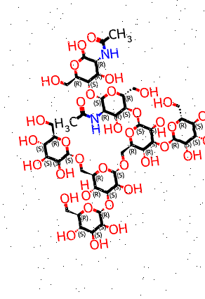 CC(=O)N[C@H]1[C@H](O[C@H]2[C@H](O)[C@@H](NC(C)=O)C(O)O[C@@H]2CO)O[C@H](CO)[C@@H](O[C@@H]2O[C@H](CO[C@H]3O[C@H](CO[C@H]4O[C@H](CO)[C@@H](O)[C@H](O)[C@@H]4O)[C@@H](O)[C@H](O[C@H]4O[C@H](CO)[C@@H](O)[C@H](O)[C@@H]4O)[C@@H]3O)[C@@H](O)[C@H](O[C@H]3O[C@H](CO)[C@@H](O)[C@H](O)[C@@H]3O)[C@@H]2O)[C@@H]1O